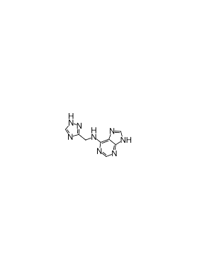 c1nc(NCc2nc[nH]n2)c2nc[nH]c2n1